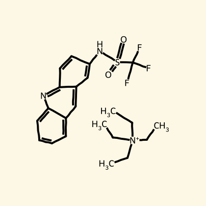 CC[N+](CC)(CC)CC.O=S(=O)(Nc1ccc2nc3ccccc3cc2c1)C(F)(F)F